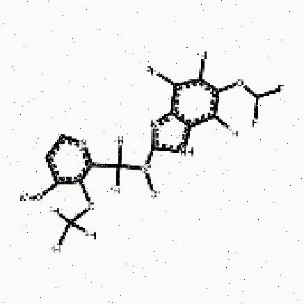 [2H]c1c(OC(F)F)c([2H])c2[nH]c([S+]([O-])C([2H])([2H])c3nccc(OC)c3OC([2H])([2H])[2H])nc2c1[2H]